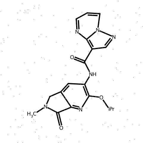 CC(C)Oc1nc2c(cc1NC(=O)c1cnn3cccnc13)CN(C)C2=O